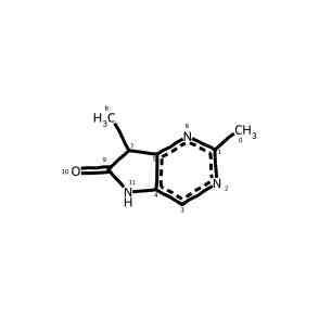 Cc1ncc2c(n1)C(C)C(=O)N2